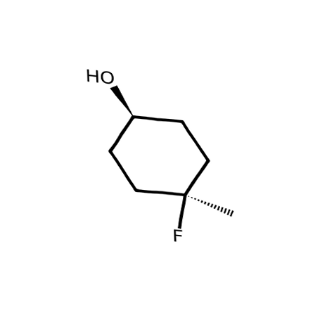 C[C@]1(F)CC[C@@H](O)CC1